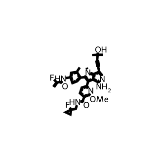 C=C(F)C(=O)Nc1ccc(-c2c(-c3ccc(C(=O)NCC4(F)CC4)c(OC)n3)c3c(N)ncc(C#CC(C)(C)O)c3n2C)c(C)c1